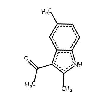 CC(=O)c1c(C)[nH]c2ccc(C)cc12